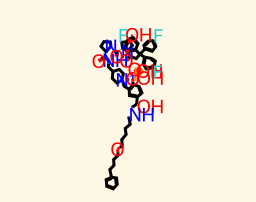 C[N+]1(Cc2cc(C(O)CNCCCCCCOCCCCc3ccccc3)ccc2OP(=O)(O)O)CCC(CNC(=O)[C@H]2CCCN2C(=O)[C@@H]2C[C@@H](O)CN2C(=O)CC(c2ccc(F)cc2)(c2ccc(F)cc2)c2ccc(F)cc2)CC1